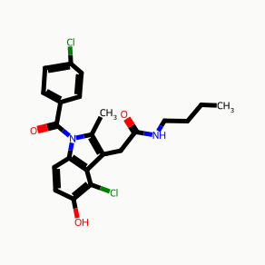 CCCCNC(=O)Cc1c(C)n(C(=O)c2ccc(Cl)cc2)c2ccc(O)c(Cl)c12